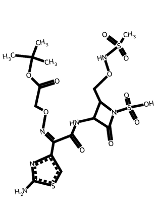 CC(C)(C)OC(=O)CON=C(C(=O)NC1C(=O)N(S(=O)(=O)O)C1CONS(C)(=O)=O)c1csc(N)n1